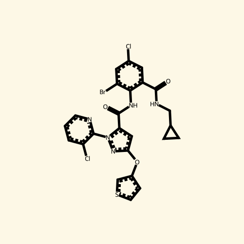 O=C(NCC1CC1)c1cc(Cl)cc(Br)c1NC(=O)c1cc(Oc2ccsc2)nn1-c1ncccc1Cl